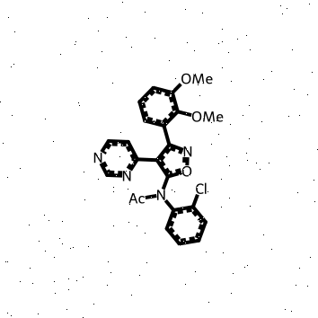 COc1cccc(-c2noc(N(C(C)=O)c3ccccc3Cl)c2-c2ccncn2)c1OC